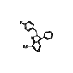 Fc1ccc(Cn2nc3c(C(F)(F)F)cccc3c2-c2ccccc2)cc1